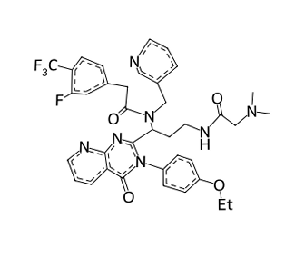 CCOc1ccc(-n2c(C(CCNC(=O)CN(C)C)N(Cc3cccnc3)C(=O)Cc3ccc(C(F)(F)F)c(F)c3)nc3ncccc3c2=O)cc1